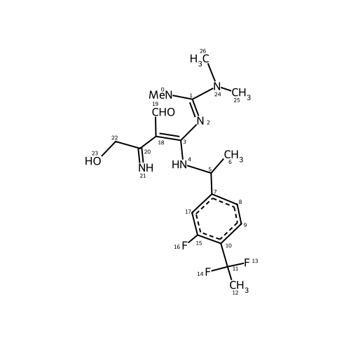 CN/C(=N\C(NC(C)c1ccc(C(C)(F)F)c(F)c1)=C(/C=O)C(=N)CO)N(C)C